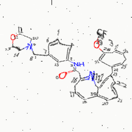 O=C(Nc1cccc(CN2CCOCC2)c1)c1ccc2cccc(-c3cccc(OC(F)(F)F)c3)c2n1